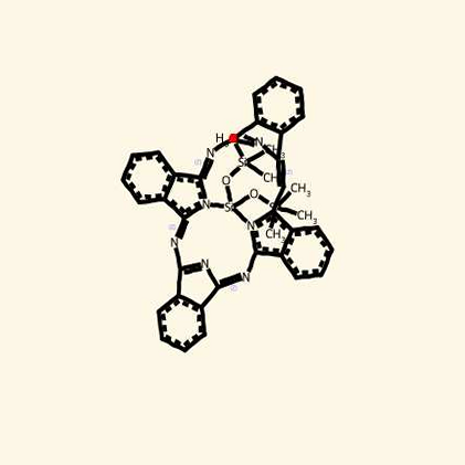 C[Si](C)(C)O[Si]1(O[Si](C)(C)C)n2c3c4ccccc4c2/N=C2N=C(/N=c4/c5ccccc5/c(n41)=N/C1=NC(=C\3)/c3ccccc31)c1ccccc1\2